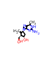 C=C1[C@H](CO)[C@@H](O)C[C@@H]1n1cnc2c1N=C(N)NC2C